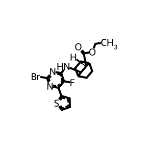 CCOC(=O)[C@@H]1C2CCC(CC2)C1Nc1nc(Br)nc(-c2cccs2)c1F